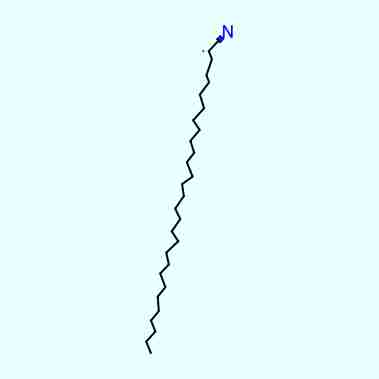 CCCCCCCCCCCCCCCCCCCCCCCCCCC[CH]C#N